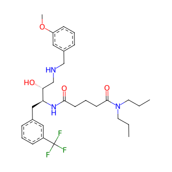 CCCN(CCC)C(=O)CCCC(=O)N[C@@H](Cc1cccc(C(F)(F)F)c1)[C@H](O)CNCc1cccc(OC)c1